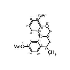 COc1ccc(C(C)CC2COc3c(cccc3C(C)C)O2)cc1